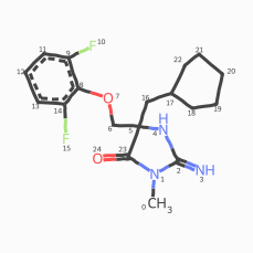 CN1C(=N)NC(COc2c(F)cccc2F)(CC2CCCCC2)C1=O